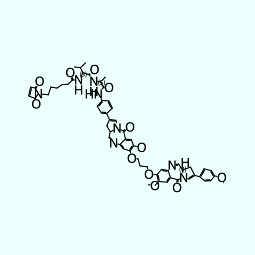 COc1ccc(C2=CN3C(=O)c4cc(OC)c(OCCCOc5cc6c(cc5OC)C(=O)N5C=C(c7ccc(NC(=O)[C@H](C)NC(=O)[C@@H](NC(=O)CCCCCN8C(=O)C=CC8=O)C(C)C)cc7)CC5C=N6)cc4N=C[C@@H]3C2)cc1